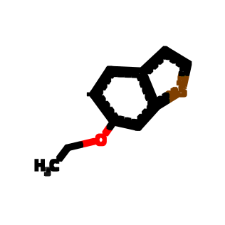 CCOc1[c]cc2ccsc2c1